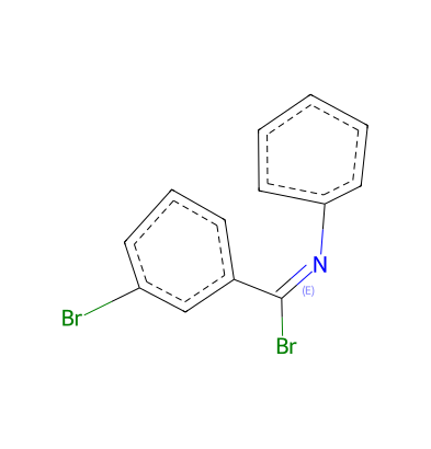 Br/C(=N/c1ccccc1)c1cccc(Br)c1